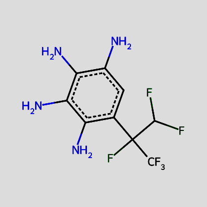 Nc1cc(C(F)(C(F)F)C(F)(F)F)c(N)c(N)c1N